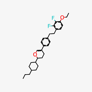 CCCC1CCC(C2CCC(c3ccc(CCc4ccc(OCC)c(F)c4F)cc3)=CO2)CC1